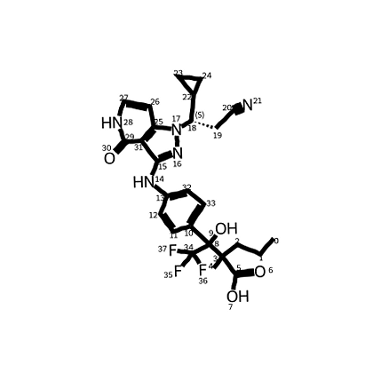 CCCC(C)(C(=O)O)C(O)(c1ccc(Nc2nn([C@@H](CC#N)C3CC3)c3cc[nH]c(=O)c23)cc1)C(F)(F)F